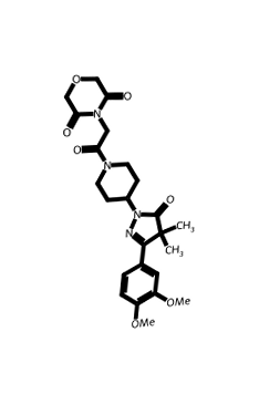 COc1ccc(C2=NN(C3CCN(C(=O)CN4C(=O)COCC4=O)CC3)C(=O)C2(C)C)cc1OC